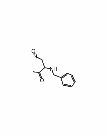 CC(=O)C(CN=O)NCc1ccccc1